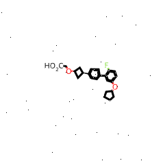 O=C(O)CO[C@H]1C[C@@H](c2ccc(-c3cc(OC4CCCC4)ccc3F)cc2)C1